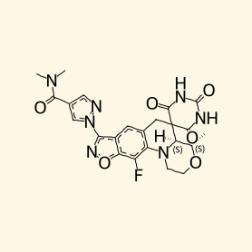 C[C@@H]1OCCN2c3c(cc4c(-n5cc(C(=O)N(C)C)cn5)noc4c3F)CC3(C(=O)NC(=O)NC3=O)[C@@H]12